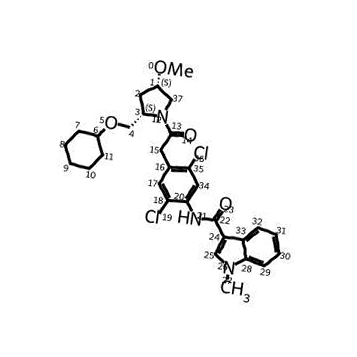 CO[C@H]1C[C@@H](COC2CCCCC2)N(C(=O)Cc2cc(Cl)c(NC(=O)c3cn(C)c4ccccc34)cc2Cl)C1